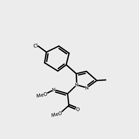 CON=C(C(=O)OC)n1nc(C)cc1-c1ccc(Cl)cc1